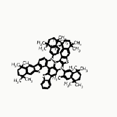 Cc1cc2c(cc1N1c3cc4c(sc5ccccc54)c4c3B(c3c1sc1cc5c(cc31)C(C)(C)CCC5(C)C)N(c1ccc3c(c1)C(C)(C)CCC3(C)C)c1ccc3c(sc5cc6c(cc53)C(C)(C)CCC6(C)C)c1-4)C(C)(C)CCC2(C)C